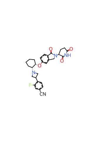 N#Cc1ccc(C2CN([C@@H]3CCCC[C@@H]3Oc3ccc4c(c3)CN(C3CCC(=O)NC3=O)C4=O)C2)c(F)c1